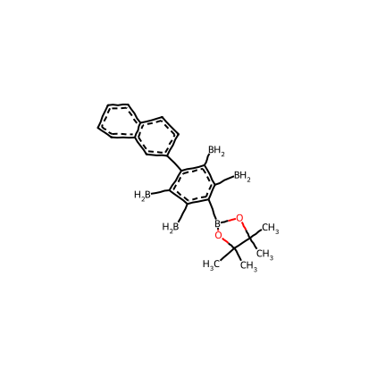 Bc1c(B)c(-c2ccc3ccccc3c2)c(B)c(B)c1B1OC(C)(C)C(C)(C)O1